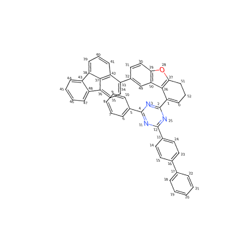 C1=C(c2nc(-c3ccccc3)nc(-c3ccc(-c4ccccc4)cc3)n2)c2c(oc3ccc(-c4ccc5c6c(cccc46)-c4ccccc4-5)cc23)CC1